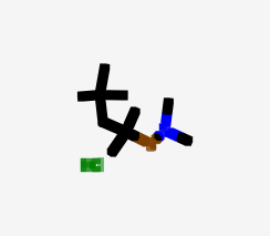 CN(C)SC(C)(C)CC(C)(C)C.Cl